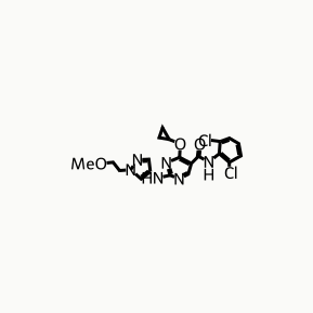 COCCn1cc(Nc2ncc(C(=O)Nc3c(Cl)cccc3Cl)c(OC3CC3)n2)cn1